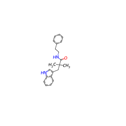 [CH2]C(C)(Cc1c[nH]c2ccccc12)C(=O)NCCc1ccccc1